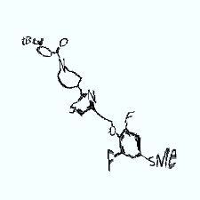 CSc1cc(F)c(OCc2csc(C3CCN(C(=O)OC(C)(C)C)CC3)n2)c(F)c1